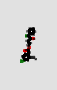 O=C(Cc1ccc(Br)cc1[N+](=O)[O-])OC/C=C/C(=O)C(F)c1ccccc1